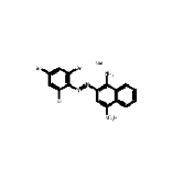 Nc1c(/N=N/c2c(Br)cc(Br)cc2Br)cc(S(=O)(=O)O)c2ccccc12.[NaH]